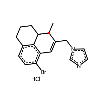 CCC12CCCc3ccc(Br)c(c31)C=C(Cn1ccnc1)C2.Cl